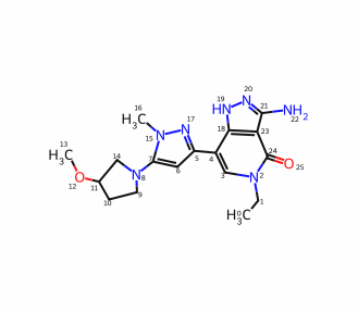 CCn1cc(-c2cc(N3CCC(OC)C3)n(C)n2)c2[nH]nc(N)c2c1=O